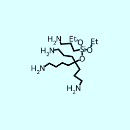 CCO[Si](CCCN)(OCC)OC(CCCN)(CCCN)CCCCN